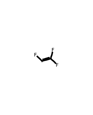 F[C]=C(F)F